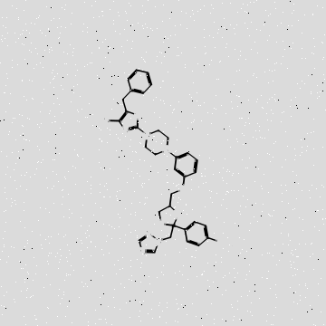 Cc1ccc(C2(Cn3cncn3)OCC(COc3cccc(N4CCN(c5nc([N+](=O)[O-])c(Cc6ccccc6)s5)CC4)c3)O2)cc1